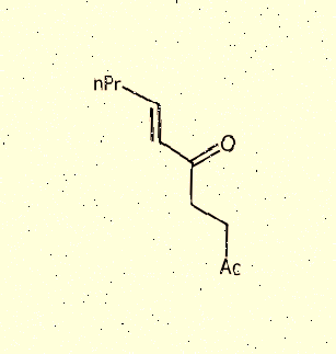 CCC/C=C/C(=O)CCC(C)=O